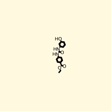 CCOC(=O)c1ccc(NC(=O)Nc2cccc(O)c2)cc1